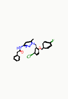 Cc1cc(NC(=O)Cc2ccccc2)nn1Cc1cc(Cl)ccc1OCc1ccc(F)cc1